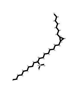 CCCCCCCCCC(CCCCCCCCC1CC1CCCCCCC)N(C)C